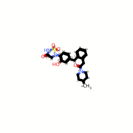 CC1CCN(C(=O)Cc2ccccc2Cc2ccc(N3CC(=O)NS3(=O)=O)c(O)c2)CC1